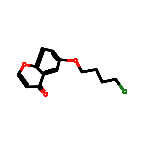 O=c1ccoc2ccc(OCCCCCl)cc12